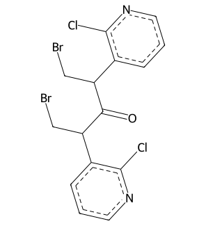 O=C(C(CBr)c1cccnc1Cl)C(CBr)c1cccnc1Cl